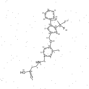 Cc1cc(CNCCC(=O)O)ccc1OCc1cc(-c2ccccc2)c(C(F)(F)F)s1